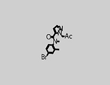 CC(=O)Cn1nccc1C(=O)N(C)c1ccc(Br)cc1C